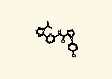 CC(C)n1cnnc1-c1cccc(NC(=O)c2cccn2-c2ccc(Cl)cc2)n1